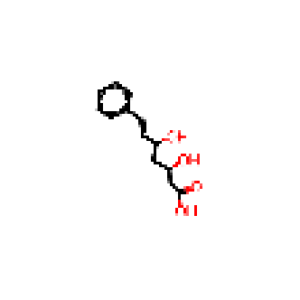 O=C(O)C[C@H](O)C[C@H](O)/C=C/c1ccccc1